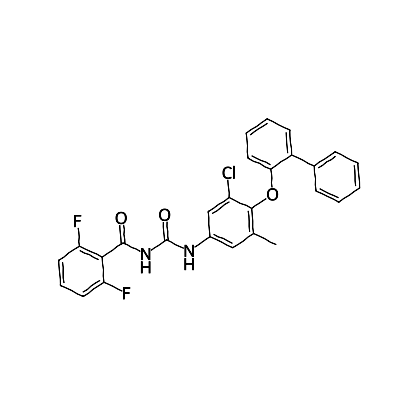 Cc1cc(NC(=O)NC(=O)c2c(F)cccc2F)cc(Cl)c1Oc1ccccc1-c1ccccc1